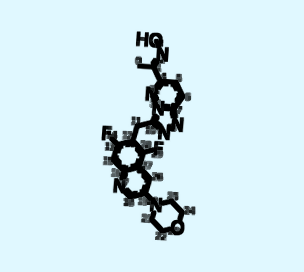 C/C(=N\O)c1ccc2nnc(Cc3c(F)cc4ncc(N5CCOCC5)cc4c3F)n2n1